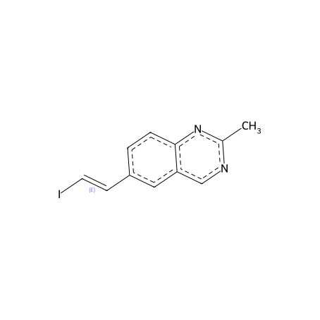 Cc1ncc2cc(/C=C/I)ccc2n1